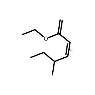 C=C(/C=C\C(C)CC)OCC